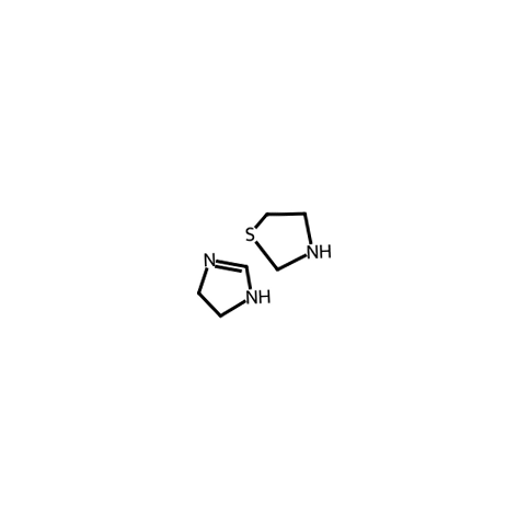 C1=NCCN1.C1CSCN1